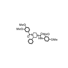 COc1ccc(NC(=O)N2CCN(C(=O)c3ccc(OC)c(OC)c3)C(c3ccccc3)C2)c(OC)c1